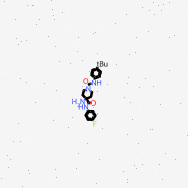 CC(C)(C)c1ccc(NC(=O)N2CCC(N)(C(=O)Nc3ccc(F)cc3)CC2)cc1